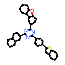 c1ccc2cc(-c3nc(-c4ccc(-c5cc6ccccc6s5)cc4)nc(-c4ccc5oc6ccccc6c5c4)n3)ccc2c1